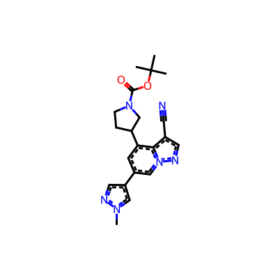 Cn1cc(-c2cc(C3CCN(C(=O)OC(C)(C)C)C3)c3c(C#N)cnn3c2)cn1